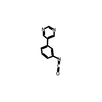 O=C=Nc1cccc(-c2cncnc2)c1